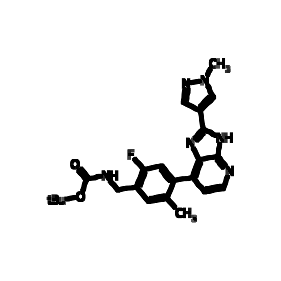 Cc1cc(CNC(=O)OC(C)(C)C)c(F)cc1-c1ccnc2[nH]c(-c3cnn(C)c3)nc12